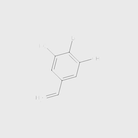 [Li][c]1c(C)cc(C=C)cc1C